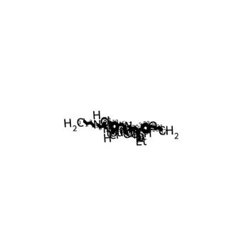 C=CCCCNCC(=O)Nc1c(Cl)cc(CC(=NC(=O)CC(=NOCC)c2ccc(OCC=C)cc2)N(C(=O)O)C(C)(C)C)cc1Cl